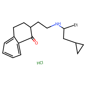 CCC(CC1CC1)NCCC1CCc2ccccc2C1=O.Cl